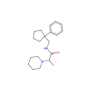 CC(C(=O)NCC1(c2ccccc2)CCCC1)N1CCCCC1